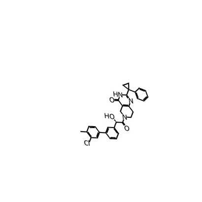 Cc1ccc(-c2cccc([C@@H](O)C(=O)N3CCc4nc(C5(c6ccccc6)CC5)[nH]c(=O)c4C3)c2)cc1Cl